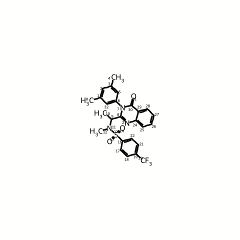 Cc1cc(C)cc(-n2c(C(C)N(C)S(=O)(=O)c3ccc(C(F)(F)F)cc3)nc3ccccc3c2=O)c1